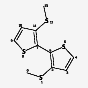 CSc1ccsc1-c1sccc1SC